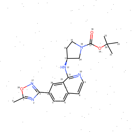 Cc1nc(-c2ccc3ccnc(N[C@H]4CCN(C(=O)OC(C)(C)C)C4)c3c2)no1